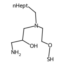 CCCCCCCCN(CCOS)CC(O)CN